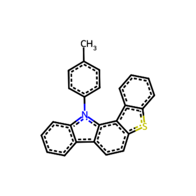 Cc1ccc(-n2c3ccccc3c3ccc4sc5ccccc5c4c32)cc1